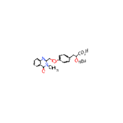 CCCCOC(Cc1ccc(OCc2nc3ccccc3c(=O)n2C)cc1)C(=O)O